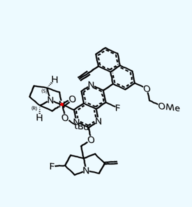 C#Cc1cccc2cc(OCOC)cc(-c3ncc4c(N5C[C@H]6CC[C@@H](C5)N6C(=O)OC(C)(C)C)nc(OCC56CC(=C)CN5CC(F)C6)nc4c3F)c12